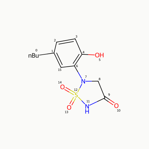 CCCCc1ccc(O)c(N2CC(=O)NS2(=O)=O)c1